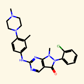 Cc1cc(Nc2ncc3c(=O)n(-c4ccccc4Cl)n(C)c3n2)ccc1N1CCN(C)CC1